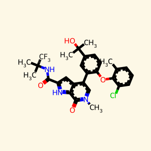 Cc1cccc(Cl)c1Oc1ccc(C(C)(C)O)cc1-c1cn(C)c(=O)c2[nH]c(C(=O)NC(C)(C)C(F)(F)F)cc12